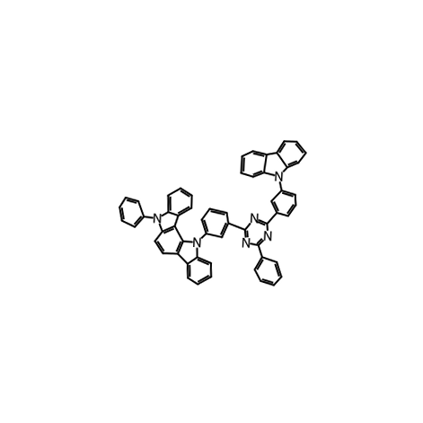 c1ccc(-c2nc(-c3cccc(-n4c5ccccc5c5ccccc54)c3)nc(-c3cccc(-n4c5ccccc5c5ccc6c(c7ccccc7n6-c6ccccc6)c54)c3)n2)cc1